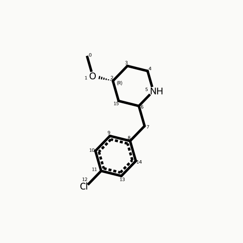 CO[C@@H]1CCNC(Cc2ccc(Cl)cc2)C1